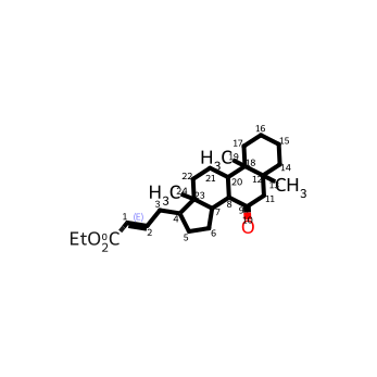 CCOC(=O)/C=C/CC1CCC2C3C(=O)CC4(C)CCCCC4(C)C3CCC12C